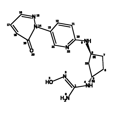 NC(=NO)N[C@H]1CC[C@H](Nc2ccc(-n3ncccc3=O)cn2)C1